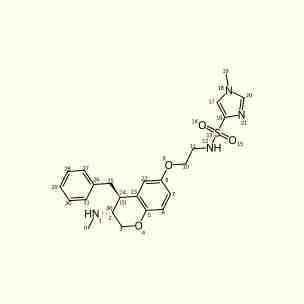 CN[C@H]1COc2ccc(OCCNS(=O)(=O)c3cn(C)cn3)cc2[C@@H]1Cc1ccccc1